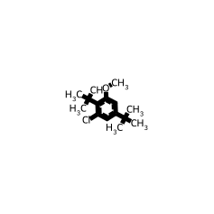 COc1cc(C(C)(C)C)cc(Cl)c1C(C)(C)C